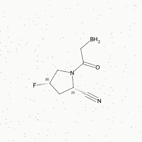 BCC(=O)N1C[C@@H](F)C[C@H]1C#N